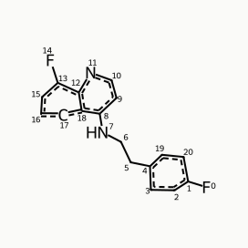 Fc1ccc(CCNc2ccnc3c(F)cccc23)cc1